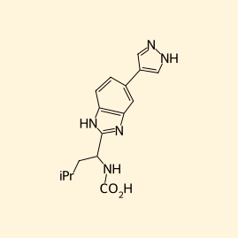 CC(C)CC(NC(=O)O)c1nc2cc(-c3cn[nH]c3)ccc2[nH]1